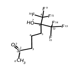 C[Si](=O)CCCC(O)(C(F)(F)F)C(F)(F)F